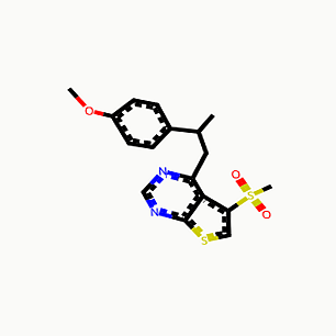 COc1ccc(C(C)Cc2ncnc3scc(S(C)(=O)=O)c23)cc1